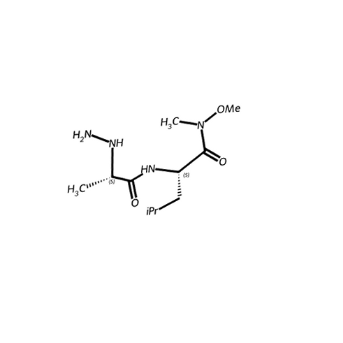 CON(C)C(=O)[C@H](CC(C)C)NC(=O)[C@H](C)NN